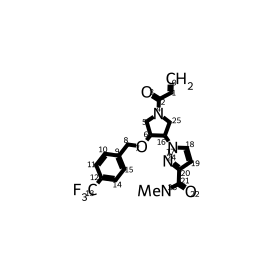 C=CC(=O)N1CC(OCc2ccc(C(F)(F)F)cc2)C(n2ccc(C(=O)NC)n2)C1